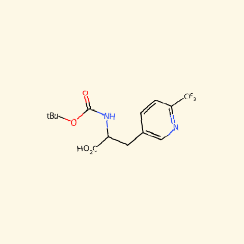 CC(C)(C)OC(=O)NC(Cc1ccc(C(F)(F)F)nc1)C(=O)O